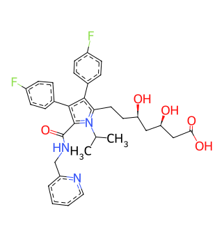 CC(C)n1c(CC[C@@H](O)C[C@@H](O)CC(=O)O)c(-c2ccc(F)cc2)c(-c2ccc(F)cc2)c1C(=O)NCc1ccccn1